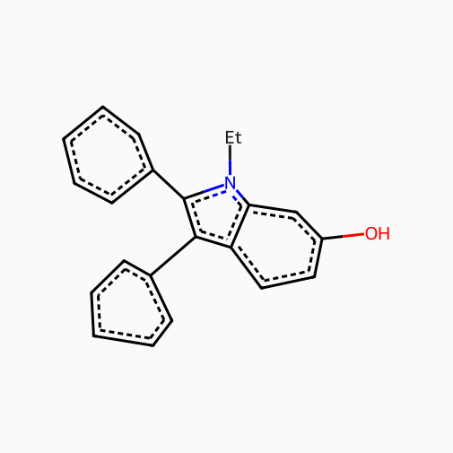 CCn1c(-c2ccccc2)c(-c2ccccc2)c2ccc(O)cc21